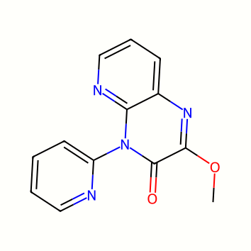 COc1nc2cccnc2n(-c2ccccn2)c1=O